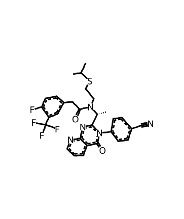 CC(C)SCCN(C(=O)Cc1ccc(F)c(C(F)(F)F)c1)[C@H](C)c1nc2ncccc2c(=O)n1-c1ccc(C#N)cc1